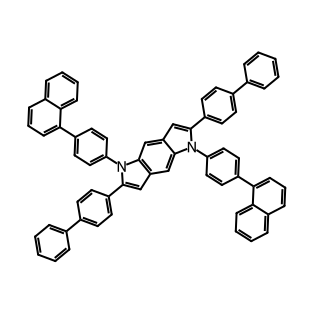 c1ccc(-c2ccc(-c3cc4cc5c(cc(-c6ccc(-c7ccccc7)cc6)n5-c5ccc(-c6cccc7ccccc67)cc5)cc4n3-c3ccc(-c4cccc5ccccc45)cc3)cc2)cc1